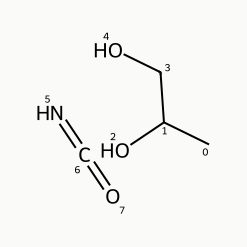 CC(O)CO.N=C=O